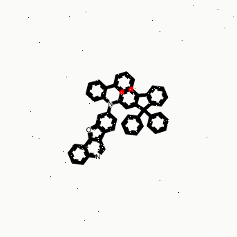 c1ccc(-c2ccccc2N(c2ccc3c(c2)C(c2ccccc2)(c2ccccc2)c2ccccc2-3)c2ccc3c(c2)oc2c4ccccc4ncc32)cc1